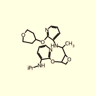 CC(C)Nc1cccnc1OC1COC1C(C)Nc1cccnc1OC1CCOCC1